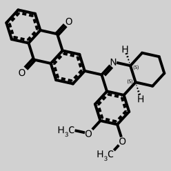 COc1cc2c(cc1OC)[C@@H]1CCCC[C@@H]1N=C2c1ccc2c(c1)C(=O)c1ccccc1C2=O